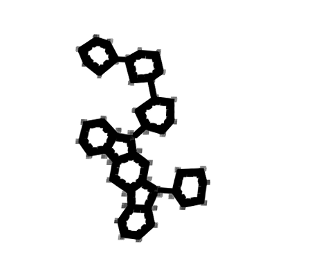 c1ccc(-c2cccc(-c3cccc(-n4c5ccccc5c5cc6c7ccccc7n(-c7ccccc7)c6cc54)c3)c2)cc1